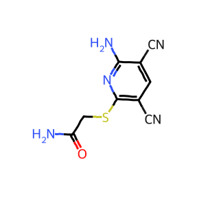 N#Cc1cc(C#N)c(SCC(N)=O)nc1N